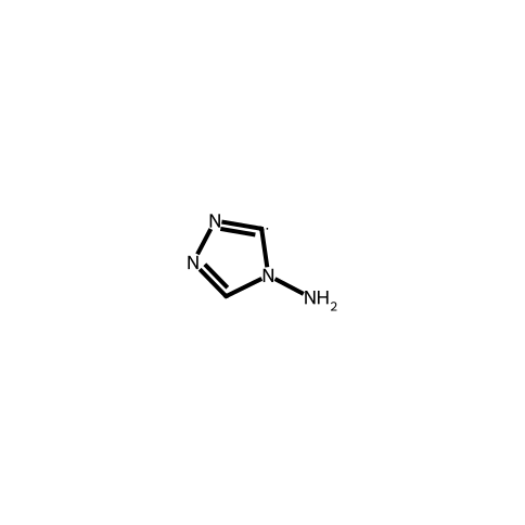 Nn1[c]nnc1